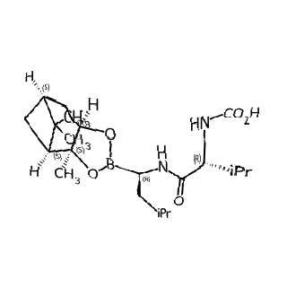 CC(C)C[C@H](NC(=O)[C@H](NC(=O)O)C(C)C)B1O[C@@H]2C[C@@H]3C[C@@H](C3(C)C)[C@]2(C)O1